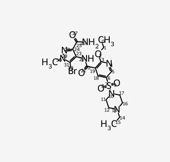 CCOc1ncc(S(=O)(=O)N2CCN(CC)CC2)cc1C(=O)Nc1c(C(N)=O)nn(C)c1Br